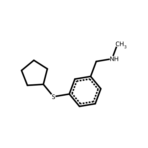 CNCc1cccc(SC2CCCC2)c1